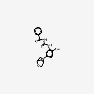 COc1ccc(N2CC3CC2CO3)cc1NC(=S)NC(=O)c1ccccc1